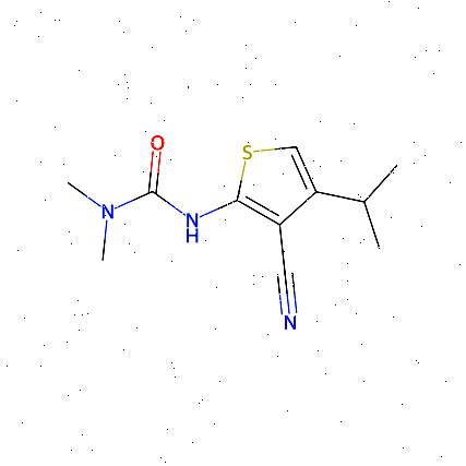 CC(C)c1csc(NC(=O)N(C)C)c1C#N